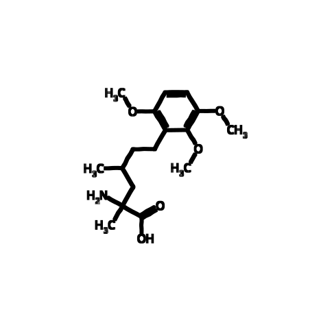 COc1ccc(OC)c(OC)c1CCC(C)CC(C)(N)C(=O)O